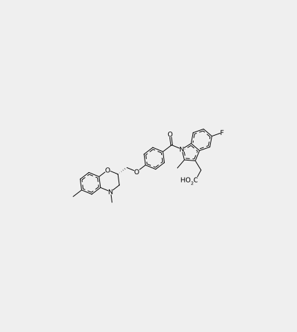 Cc1ccc2c(c1)N(C)C[C@@H](COc1ccc(C(=O)n3c(C)c(CC(=O)O)c4cc(F)ccc43)cc1)O2